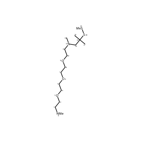 CNCCOCCOCCOCCN(C)CC(C)(C)SSC